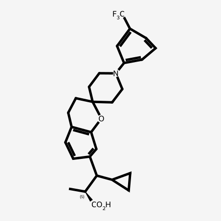 C[C@H](C(=O)O)C(c1ccc2c(c1)OC1(CC2)CCN(c2cccc(C(F)(F)F)c2)CC1)C1CC1